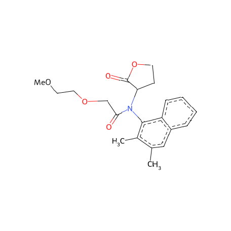 COCCOCC(=O)N(c1c(C)c(C)cc2ccccc12)C1CCOC1=O